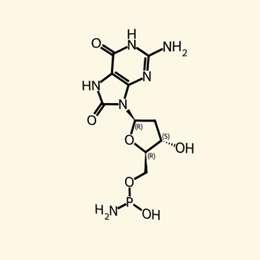 Nc1nc2c([nH]c(=O)n2[C@H]2C[C@H](O)[C@@H](COP(N)O)O2)c(=O)[nH]1